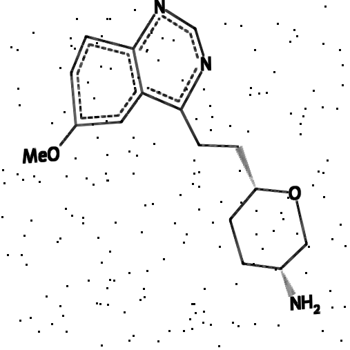 COc1ccc2ncnc(CC[C@H]3CC[C@@H](N)CO3)c2c1